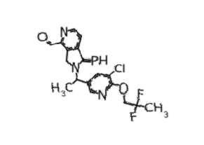 CC(c1cnc(OCC(C)(F)F)c(Cl)c1)N1Cc2c(ccnc2C=O)C1=P